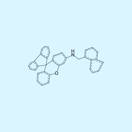 c1ccc2c(c1)Oc1cc(NCc3cccc4ccccc34)ccc1C21c2ccccc2-c2ccccc21